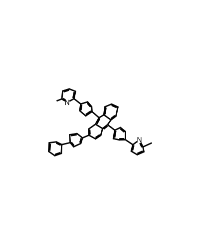 Cc1cccc(-c2ccc(-c3c4ccccc4c(-c4ccc(-c5cccc(C)n5)cc4)c4cc(-c5ccc(-c6ccccc6)cc5)ccc34)cc2)n1